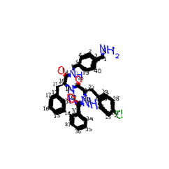 NCc1ccc(CNC(=O)[C@H](Cc2ccccc2)NC(=O)[C@@H](Cc2ccc(Cl)cc2)NC(=O)c2ccccc2)cc1